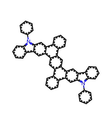 c1ccc(-n2c3ccccc3c3cc4c5cc6c7ccccc7c7cc8c(cc7c6cc5c5ccccc5c4cc32)c2ccccc2n8-c2ccccc2)cc1